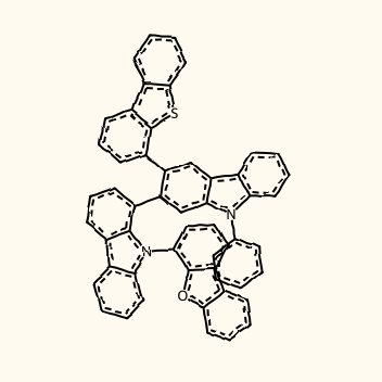 c1ccc(-n2c3ccccc3c3cc(-c4cccc5c4sc4ccccc45)c(-c4cccc5c6ccccc6n(-c6cccc7c6oc6ccccc67)c45)cc32)cc1